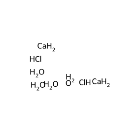 Cl.Cl.O.O.O.O.[CaH2].[CaH2]